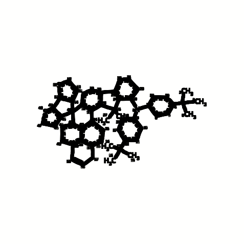 CC(C)(C)c1ccc(N(c2ccc(C(C)(C)C)cc2)c2cccc3c2C(C)(C)c2c-3ccc3c2-c2ccc4c5c(ccc(c25)C32c3ccsc3-c3sccc32)C=CC4)cc1